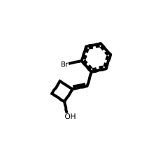 OC1CC/C1=C\c1ccccc1Br